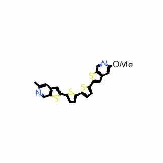 COc1cc2cc(-c3ccc(-c4ccc(-c5cc6cc(C)ncc6s5)s4)s3)sc2cn1